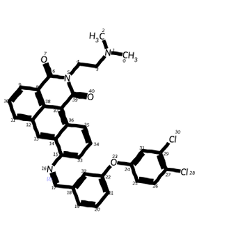 CN(C)CCN1C(=O)c2cccc3cc4c(/N=C\c5cccc(Oc6ccc(Cl)c(Cl)c6)c5)cccc4c(c23)C1=O